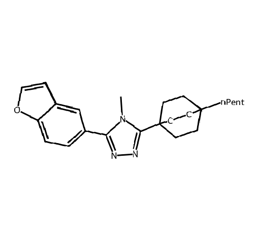 CCCCCC12CCC(c3nnc(-c4ccc5occc5c4)n3C)(CC1)CC2